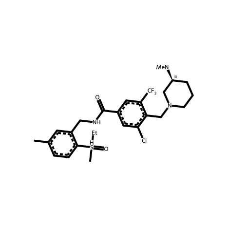 CC[SH](C)(=O)c1ccc(C)cc1CNC(=O)c1cc(Cl)c(CN2CCC[C@H](NC)C2)c(C(F)(F)F)c1